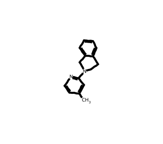 Cc1ccnc(N2CCc3ccccc3C2)c1